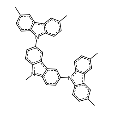 Cc1ccc2c(c1)c1cc(C)ccc1n2-c1ccc2c(c1)c1cc(-n3c4ccc(C)cc4c4cc(C)ccc43)ccc1n2C